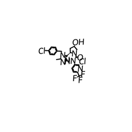 Cc1nnc([C@H]2C[C@H](O)CN2C(=O)Nc2ccc(C(F)(F)F)nc2Cl)n1Cc1ccc(Cl)cc1